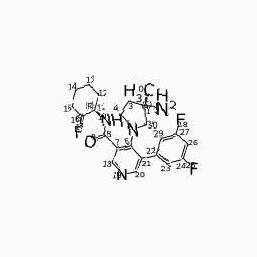 C[C@]1(N)CCN(c2c(C(=O)N[C@@H]3CCCC[C@@H]3F)cncc2-c2cc(F)cc(F)c2)C1